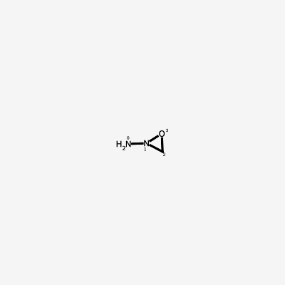 NN1CO1